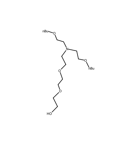 CCCCOCCN(CCOCCCC)CCOCCOCCO